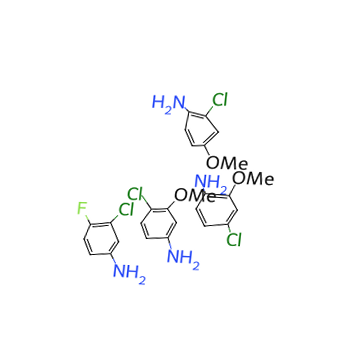 COc1cc(Cl)ccc1N.COc1cc(N)ccc1Cl.COc1ccc(N)c(Cl)c1.Nc1ccc(F)c(Cl)c1